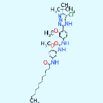 CCCCCCCCCCCC(=O)Nc1ccc(OC)c(NC(=O)Nc2ccc(-c3nn4nc(C(C)(C)C)c(Cl)c4[nH]3)c(OC)c2)c1